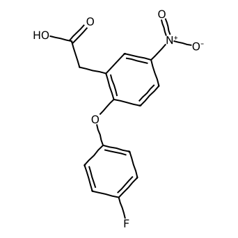 O=C(O)Cc1cc([N+](=O)[O-])ccc1Oc1ccc(F)cc1